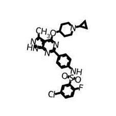 Cc1n[nH]c2nc(-c3ccc(NS(=O)(=O)c4cc(Cl)ccc4F)cc3)nc(OC3CCN(C4CC4)CC3)c12